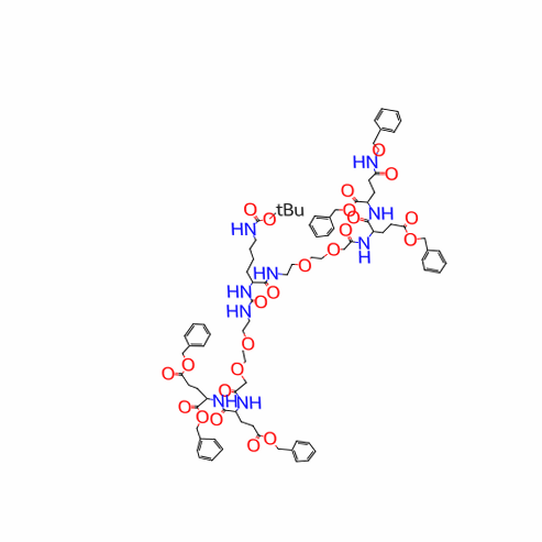 CC(C)(C)OC(=O)NCCCCC(NC(=O)NCCOCCOCC(=O)NC(CCC(=O)OCc1ccccc1)C(=O)NC(CCC(=O)OCc1ccccc1)C(=O)OCc1ccccc1)C(=O)NCCOCCOCC(=O)NC(CCC(=O)OCc1ccccc1)C(=O)NC(CCC(=O)NOCc1ccccc1)C(=O)OCc1ccccc1